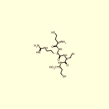 CC(C)C[C@H](NC(=O)[C@H](CCCNC(=N)N)NC(=O)[C@H](N)CCS)C(=O)N[C@@H](CCS)C(=O)O